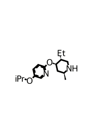 CC[C@@H]1CN[C@@H](C)C[C@H]1Oc1ccc(OC(C)C)cn1